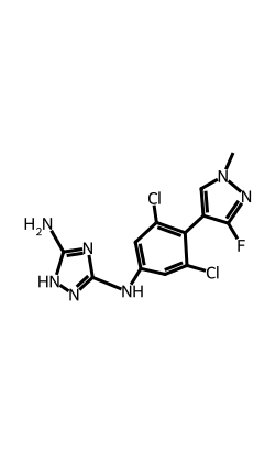 Cn1cc(-c2c(Cl)cc(Nc3n[nH]c(N)n3)cc2Cl)c(F)n1